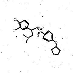 CN(C)CC(NS(=O)(=O)c1ccc(OC2CCCC2)cc1)c1ccc(Cl)c(Cl)c1